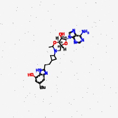 CC1O[C@H]2[C@@H](O)[C@H](n3cnc4c(N)ncnc43)O[C@@H]2CN1C1CC(CCc2nc3cc(C(C)(C)C)cc(O)c3[nH]2)C1